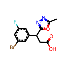 Cc1nnc(C(CC(=O)O)c2cc(F)cc(Br)c2)o1